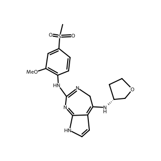 COc1cc(S(C)(=O)=O)ccc1NC1=NCC(N[C@@H]2CCOC2)=c2cc[nH]c2=N1